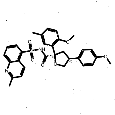 COc1ccc([C@H]2CO[C@@](C(=O)NS(=O)(=O)c3cccc4nc(C)ccc34)(c3cc(C)ccc3OC)C2)cc1